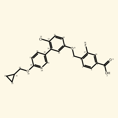 O=C(O)c1ccc(COc2ccc(Cl)c(-c3ccc(OCC4CC4)nc3)c2)c(F)c1